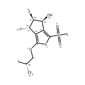 C[C@H](COc1sc(S(C)(=O)=O)c2c1[C@H](F)[C@@H](F)[C@H]2O)C(F)(F)F